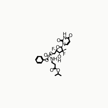 CC(C)OC(=O)CCN[P@](=O)(OC[C@@]1(F)O[C@@H](n2ccc(=O)[nH]c2=O)[C@](C)(F)[C@@H]1O)Oc1ccccc1